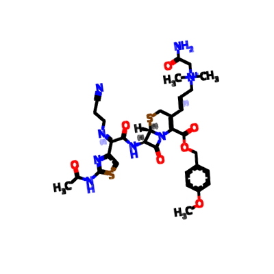 COc1ccc(COC(=O)C2=C(/C=C/C[N+](C)(C)CC(N)=O)CS[C@H]3[C@H](NC(=O)/C(=N\CCC#N)c4csc(NC(C)=O)n4)C(=O)N23)cc1